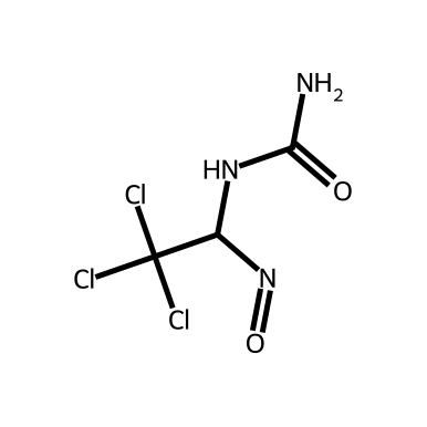 NC(=O)NC(N=O)C(Cl)(Cl)Cl